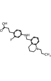 CCCN1CCCc2c(CNc3ccc(CCC(=O)O)c(F)c3)cccc21